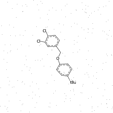 CC(C)(C)c1ccc(OCc2ccc(Cl)c(Cl)c2)cc1